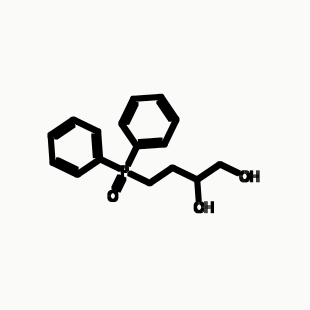 O=P(CCC(O)CO)(c1ccccc1)c1ccccc1